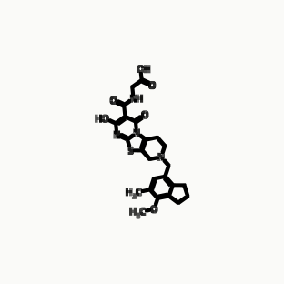 COc1c(C)cc(CN2CCc3c(sc4nc(O)c(C(=O)NCC(=O)O)c(=O)n34)C2)c2c1CCC2